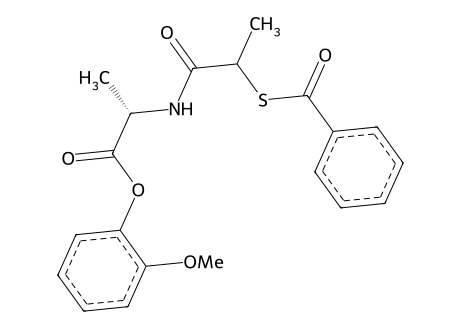 COc1ccccc1OC(=O)[C@H](C)NC(=O)C(C)SC(=O)c1ccccc1